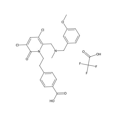 COc1cccc(CN(C)Cc2c(Cl)cc(Cl)c(=O)n2CCc2ccc(C(=O)O)cc2)c1.O=C(O)C(F)(F)F